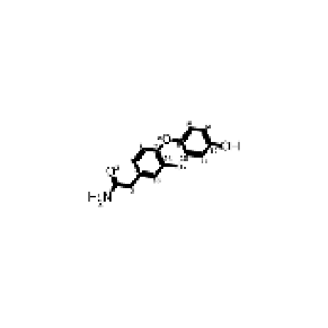 NC(=O)Cc1ccc(Oc2ccc(O)cc2)c(I)c1